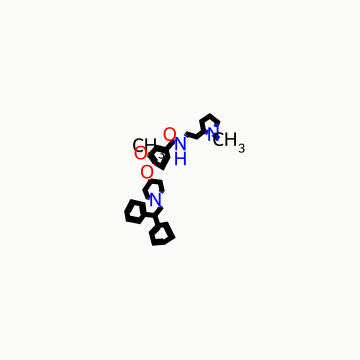 COc1cc(C(=O)NCCC2CCCN2C)ccc1OC1CCN(CC(c2ccccc2)c2ccccc2)CC1